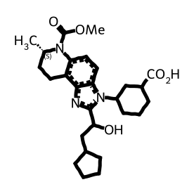 COC(=O)N1c2ccc3c(nc(C(O)CC4CCCC4)n3C3CCCC(C(=O)O)C3)c2CC[C@@H]1C